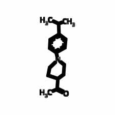 CC(=O)C1CCN(c2ccc(C(C)C)cc2)CC1